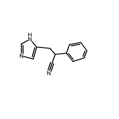 N#CC([CH]c1cnc[nH]1)c1ccccc1